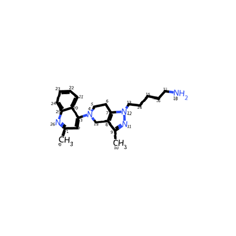 Cc1cc(N2CCc3c(c(C)nn3CCCCCN)C2)c2ccccc2n1